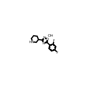 Cl.Fc1ccc(-c2nc(C3CCCNC3)no2)c(F)c1